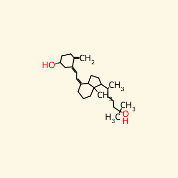 C=C1CCC(O)C/C1=C\C=C1\CCCC2(C)C1CCC2C(C)CCCC(C)(C)O